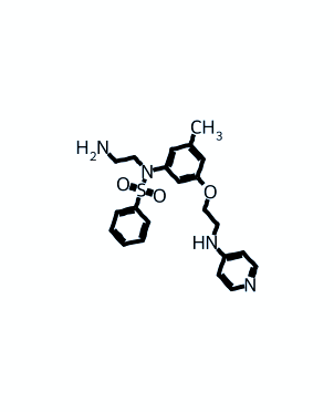 Cc1cc(OCCNc2ccncc2)cc(N(CCN)S(=O)(=O)c2ccccc2)c1